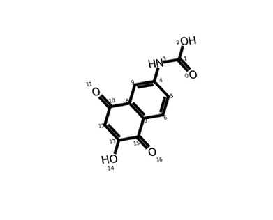 O=C(O)Nc1ccc2c(c1)C(=O)C=C(O)C2=O